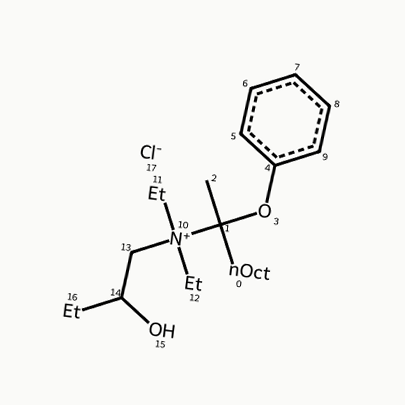 CCCCCCCCC(C)(Oc1ccccc1)[N+](CC)(CC)CC(O)CC.[Cl-]